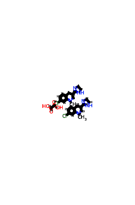 CN1CC(C2=NCCN2)Cc2ccc(Cl)cc21.CN1CC(C2=NCCN2)Cc2ccc(Cl)cc21.O=C(O)C(=O)O